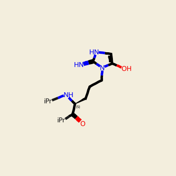 CC(C)N[C@@H](CCCn1c(O)c[nH]c1=N)C(=O)C(C)C